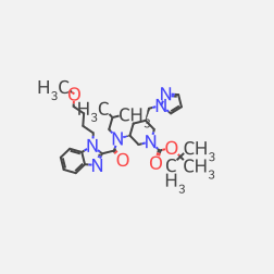 COCCCCn1c(C(=O)N(CC(C)C)[C@H]2C[C@@H](Cn3cccn3)CN(C(=O)OC(C)(C)C)C2)nc2ccccc21